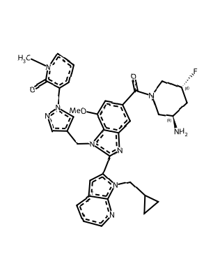 COc1cc(C(=O)N2C[C@H](N)C[C@@H](F)C2)cc2nc(-c3cc4cccnc4n3CC3CC3)n(Cc3cnn(-c4cccn(C)c4=O)c3)c12